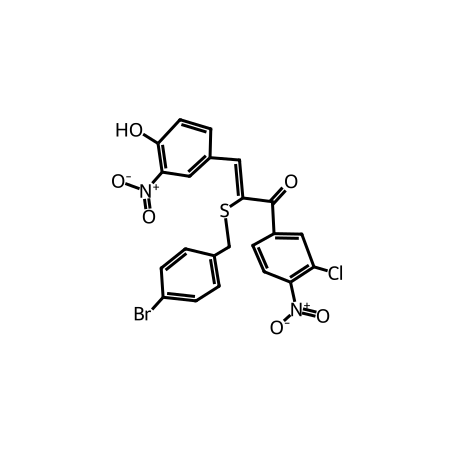 O=C(C(=Cc1ccc(O)c([N+](=O)[O-])c1)SCc1ccc(Br)cc1)c1ccc([N+](=O)[O-])c(Cl)c1